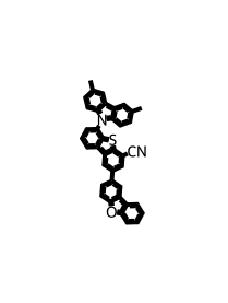 Cc1ccc2c(c1)c1cc(C)ccc1n2-c1cccc2c1sc1c(C#N)cc(-c3ccc4oc5ccccc5c4c3)cc12